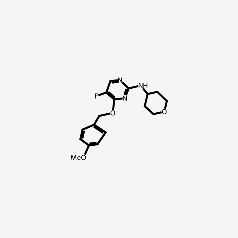 COc1ccc(COc2nc(NC3CCOCC3)ncc2F)cc1